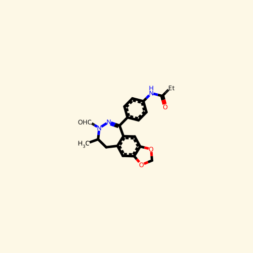 CCC(=O)Nc1ccc(C2=NN(C=O)C(C)Cc3cc4c(cc32)OCO4)cc1